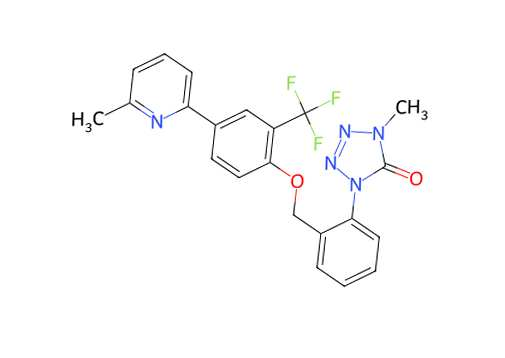 Cc1cccc(-c2ccc(OCc3ccccc3-n3nnn(C)c3=O)c(C(F)(F)F)c2)n1